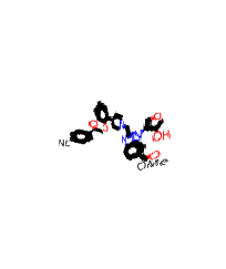 COC(=O)c1ccc2nc(CN3CCC(c4cccc5c4OC[C@@H](c4ccc(C#N)cc4)O5)CC3)n([C@H]3COC[C@H]3O)c2c1